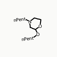 CCCCCOC1CN(CCCCC)CCO1